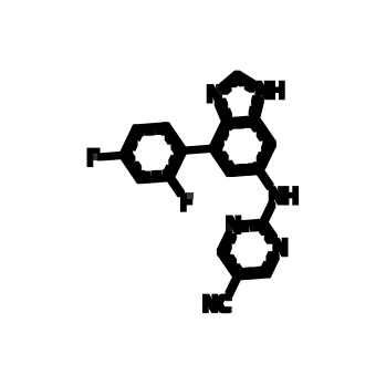 N#Cc1cnc(Nc2cc(-c3ccc(F)cc3F)c3nc[nH]c3c2)nc1